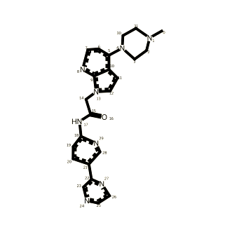 CN1CCN(c2ccnc3c2ccn3CC(=O)Nc2ccc(-c3cnccn3)cn2)CC1